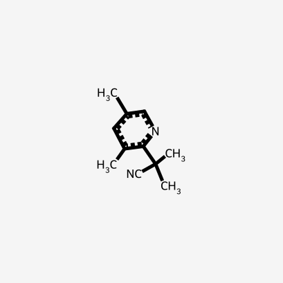 Cc1cnc(C(C)(C)C#N)c(C)c1